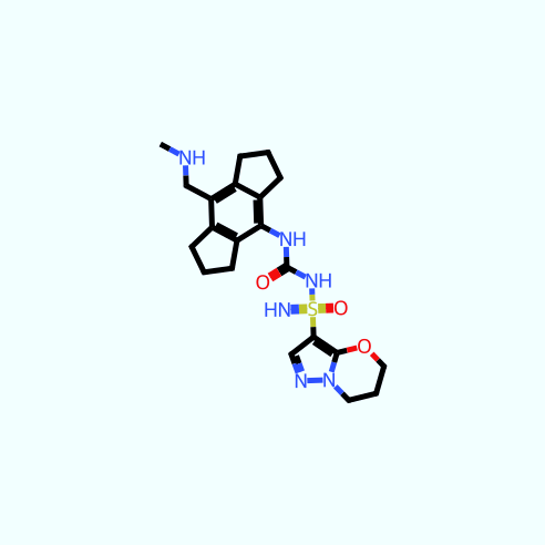 CNCc1c2c(c(NC(=O)NS(=N)(=O)c3cnn4c3OCCC4)c3c1CCC3)CCC2